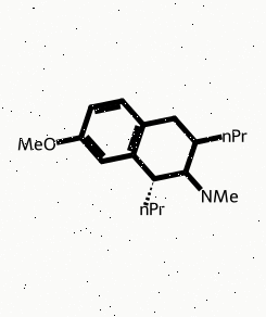 CCCC1Cc2ccc(OC)cc2[C@@H](CCC)C1NC